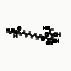 NNC(=O)CCCCCCCCOC1OC(CO)C(O)C(O)C1O